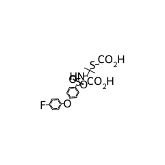 CC(C)(SCC(=O)O)[C@@H](NS(=O)(=O)c1ccc(Oc2ccc(F)cc2)cc1)C(=O)O